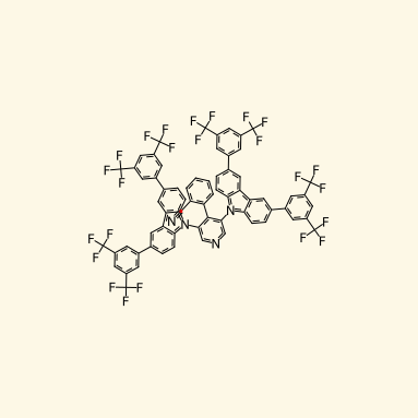 N#Cc1ccccc1-c1c(-n2c3ccc(-c4cc(C(F)(F)F)cc(C(F)(F)F)c4)cc3c3cc(-c4cc(C(F)(F)F)cc(C(F)(F)F)c4)ccc32)cncc1-n1c2ccc(-c3cc(C(F)(F)F)cc(C(F)(F)F)c3)cc2c2cc(-c3cc(C(F)(F)F)cc(C(F)(F)F)c3)ccc21